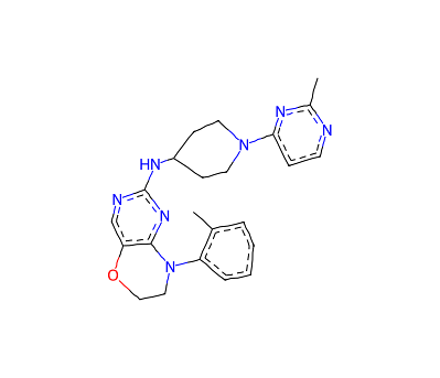 Cc1nccc(N2CCC(Nc3ncc4c(n3)N(c3ccccc3C)CCO4)CC2)n1